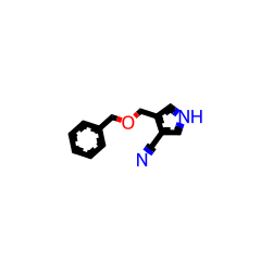 N#Cc1c[nH]cc1COCc1ccccc1